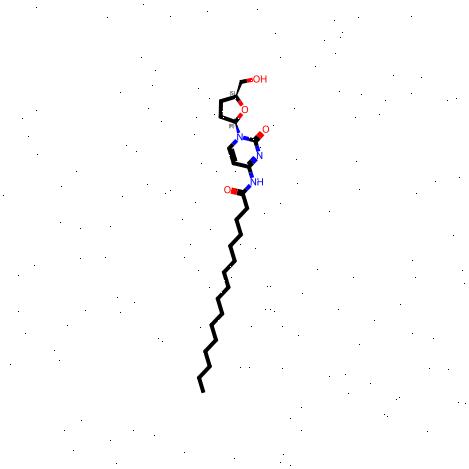 CCCCCCCCCCCCCCCC(=O)Nc1ccn([C@H]2CC[C@@H](CO)O2)c(=O)n1